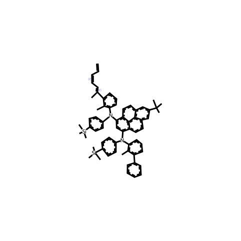 C=C/C=C\C=C(/C)c1cccc(N(c2ccc([Si](C)(C)C)cc2)c2cc(N(c3ccc([Si](C)(C)C)cc3)c3cccc(-c4ccccc4)c3C)c3ccc4cc(C(C)(C)C)cc5ccc2c3c54)c1C